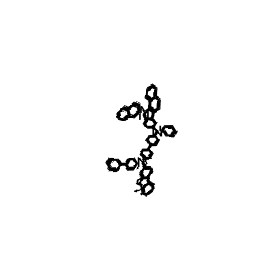 c1ccc(-c2ccc(N(c3ccc(-c4ccc(N(c5ccccc5)c5ccc6c(c5)c5ccc7ccccc7c5n6-c5ccc6ccccc6c5)cc4)cc3)c3ccc4c(c3)sc3ccccc34)cc2)cc1